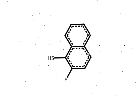 Fc1ccc2ccccc2c1S